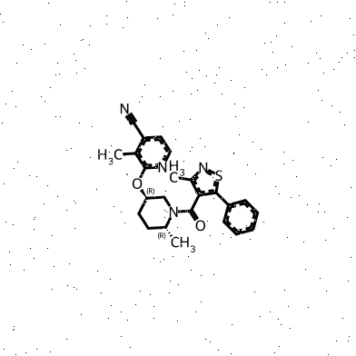 Cc1nsc(-c2ccccc2)c1C(=O)N1C[C@H](Oc2nccc(C#N)c2C)CC[C@H]1C